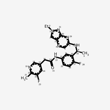 CCn1cc2ncc(N[C@@H](C)c3cc(NC(=O)Cc4cnc(C)c(F)c4)ccc3F)nc2n1